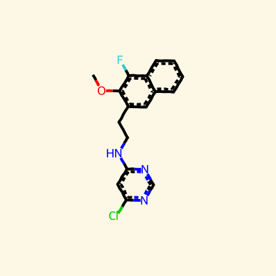 COc1c(CCNc2cc(Cl)ncn2)cc2ccccc2c1F